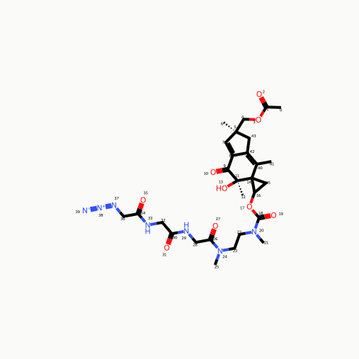 CC(=O)OC[C@]1(C)C=C2C(=O)[C@](C)(O)C3(CC3OC(=O)N(C)CCN(C)C(=O)CNC(=O)CNC(=O)CN=[N+]=[N-])C(C)=C2C1